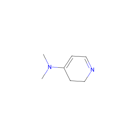 CN(C)C1=CC=NCC1